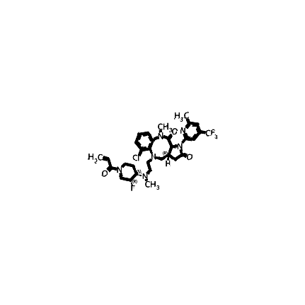 C=CC(=O)N1CC[C@H](N(C)CCN2C[C@H]3CC(=O)N(c4cc(C(F)(F)F)cc(C)n4)C3C(=O)N(C)c3cccc(Cl)c32)[C@H](F)C1